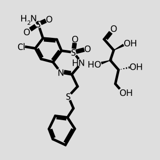 NS(=O)(=O)c1cc2c(cc1Cl)N=C(CSCc1ccccc1)NS2(=O)=O.O=C[C@@H](O)[C@H](O)[C@H](O)CO